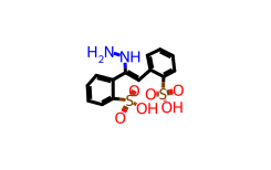 NNC(=Cc1ccccc1S(=O)(=O)O)c1ccccc1S(=O)(=O)O